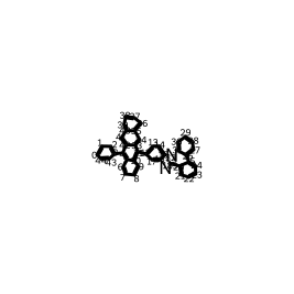 c1ccc(-c2c3ccccc3c(-c3ccc4c(c3)nc3c5ccccc5c5ccccc5n43)c3cc4ccccc4cc23)cc1